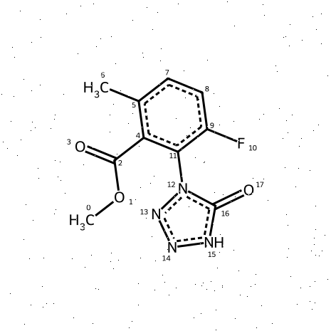 COC(=O)c1c(C)ccc(F)c1-n1nn[nH]c1=O